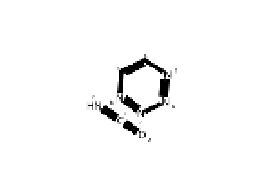 N=C=O.c1cnnnn1